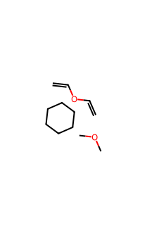 C1CCCCC1.C=COC=C.COC